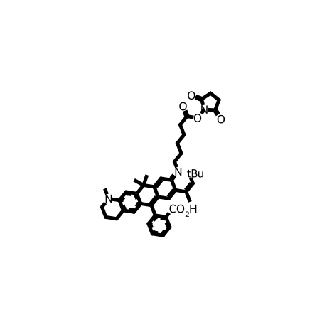 C/C(=C/C(C)(C)C)C1=CC2=C(c3ccccc3C(=O)O)c3cc4c(cc3C(C)(C)C2=C/C1=N\CCCCCC(=O)ON1C(=O)CCC1=O)N(C)CCC4